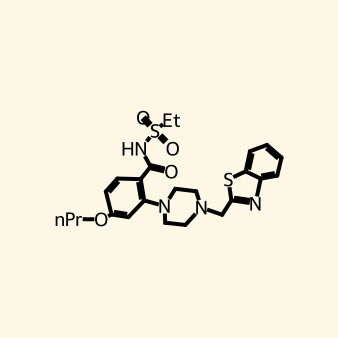 CCCOc1ccc(C(=O)NS(=O)(=O)CC)c(N2CCN(Cc3nc4ccccc4s3)CC2)c1